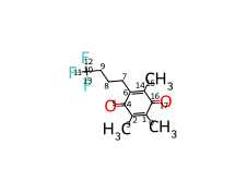 CC1=C(C)C(=O)C(CCCC(F)(F)F)=C(C)C1=O